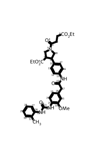 CCOC(=O)CCC(=O)N1CC(C(=O)OCC)C(c2ccc(NC(=O)Cc3ccc(NC(=O)Nc4ccccc4C)c(OC)c3)cc2)C1